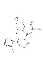 CN1CC2(CC2)CC(C(=O)NO)C1C(=O)C1CC(c2ccccc2F)=CCN1